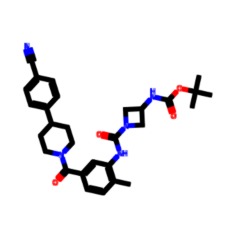 Cc1ccc(C(=O)N2CCC(c3ccc(C#N)cc3)CC2)cc1NC(=O)N1CC(NC(=O)OC(C)(C)C)C1